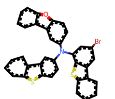 Brc1cc(N(c2ccc3oc4ccccc4c3c2)c2ccc3sc4ccccc4c3c2)c2sc3ccccc3c2c1